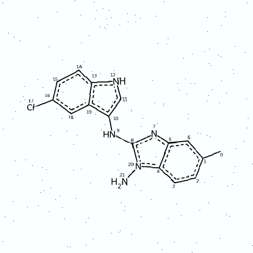 Cc1ccc2c(c1)nc(Nc1c[nH]c3ccc(Cl)cc13)n2N